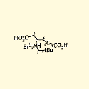 CC(C)(C)CNBr.O=C(O)CCCCC(=O)O